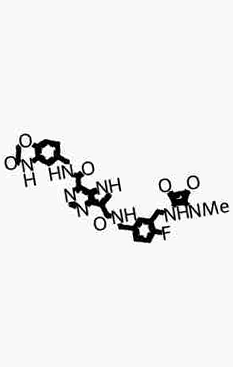 CNc1c(NCc2cc(CNC(=O)c3c[nH]c4c(C(=O)NCc5ccc6c(c5)NC(=O)CO6)ncnc34)ccc2F)c(=O)c1=O